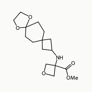 COC(=O)C1(NC2CC3(CCC4(CC3)OCCO4)C2)COC1